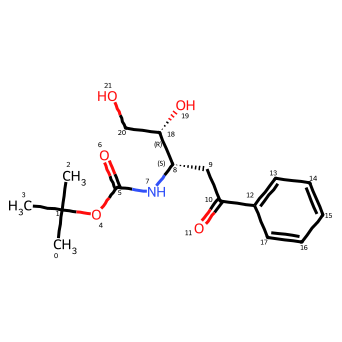 CC(C)(C)OC(=O)N[C@@H](CC(=O)c1ccccc1)[C@@H](O)CO